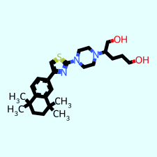 CC1(C)CCC(C)(C)c2cc(-c3csc(N4CCN(C(CO)CCCO)CC4)n3)ccc21